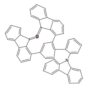 O=C1c2ccccc2-c2cccc(-c3ccc(-c4ccccc4-n4c5ccccc5c5ccccc54)c(-c4cccc5c4C(=O)c4ccccc4-5)c3)c21